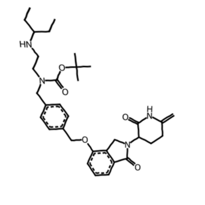 C=C1CCC(N2Cc3c(OCc4ccc(CN(CCNC(CC)CC)C(=O)OC(C)(C)C)cc4)cccc3C2=O)C(=O)N1